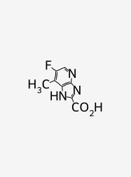 Cc1c(F)cnc2nc(C(=O)O)[nH]c12